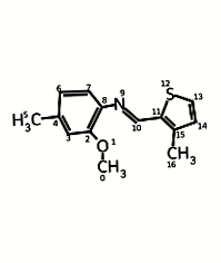 COc1cc(C)ccc1N=Cc1sccc1C